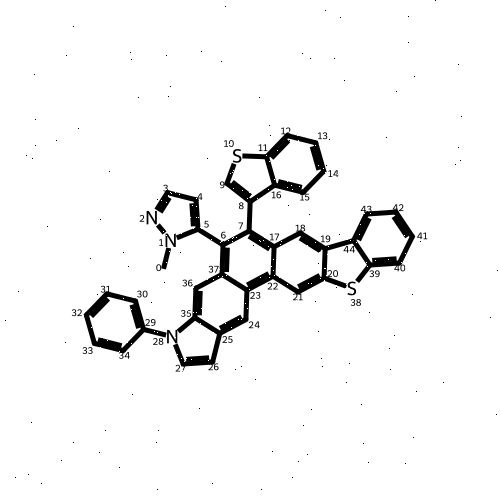 Cn1nccc1-c1c(-c2csc3ccccc23)c2cc3c(cc2c2cc4ccn(-c5ccccc5)c4cc12)sc1ccccc13